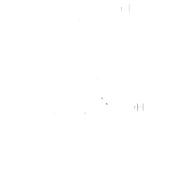 CC1CCCC(=Cc2ccc(Cl)cc2)C1=NO